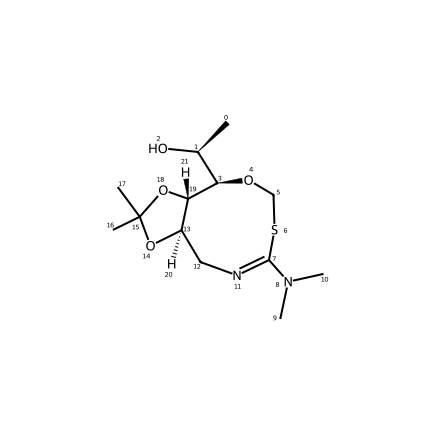 C[C@H](O)[C@H]1OCSC(N(C)C)=NC[C@H]2OC(C)(C)O[C@H]12